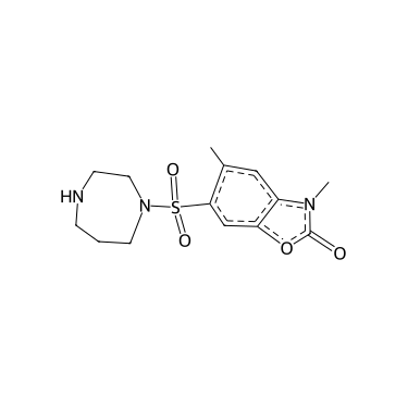 Cc1cc2c(cc1S(=O)(=O)N1CCCNCC1)oc(=O)n2C